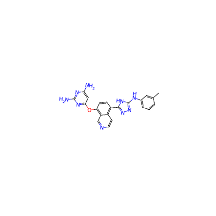 Cc1cccc(Nc2nnc(-c3ccc(Oc4cc(N)nc(N)n4)c4cnccc34)[nH]2)c1